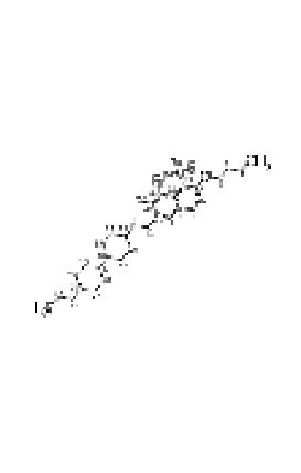 CCCCOc1ccc2cc(CCC3CCC(C4CCC(CCC)CC4)CC3)c(F)c(F)c2c1C(F)(F)F